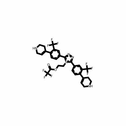 O=C(OCCn1c(-c2ccc(C3=CCNCC3)c(C(F)(F)F)c2)nnc1-c1ccc(C2=CCNCC2)c(C(F)(F)F)c1)C(F)(F)F